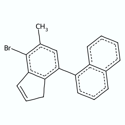 Cc1cc(-c2cccc3ccccc23)c2c(c1Br)C=CC2